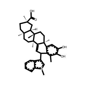 Cc1c(O)c(O)cc2c1C(c1cn(C)c3ccccc13)C=C1[C@@]2(C)CC[C@@]2(C)[C@@H]3C[C@](C)(C(=O)O)CC[C@]3(C)CC[C@]12C